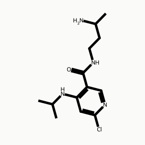 CC(N)CCNC(=O)c1cnc(Cl)cc1NC(C)C